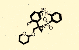 O=[N+]([O-])c1ccccc1S(=O)(=O)N1CC1(COC1CCCCO1)c1cc(Br)ccc1F